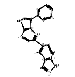 c1cncc(-c2c[nH]c3ncc(-c4ccc5[nH]ncc5c4)nc23)c1